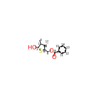 CC1C(O)S[C@H](COC(=O)c2ccccc2)[C@H]1C